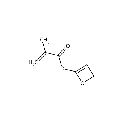 C=C(C)C(=O)OC1=CCO1